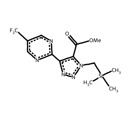 COC(=O)c1c(-c2ncc(C(F)(F)F)cn2)nnn1C[Si](C)(C)C